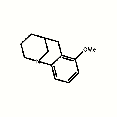 COc1cccc2c1CC1CCCN2C1